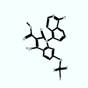 COC(=O)c1c(N)c2ccc(OC(F)(F)F)cc2n(-c2cccc3c(Cl)nccc23)c1=O